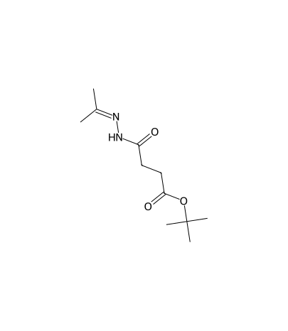 CC(C)=NNC(=O)CCC(=O)OC(C)(C)C